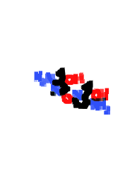 Cn1c(Oc2ccc(N)c(C3(O)CC3)n2)cc(C2(O)CC2)c1N